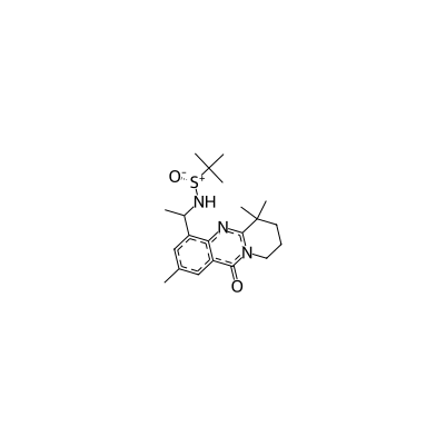 Cc1cc(C(C)N[S@+]([O-])C(C)(C)C)c2nc3n(c(=O)c2c1)CCCC3(C)C